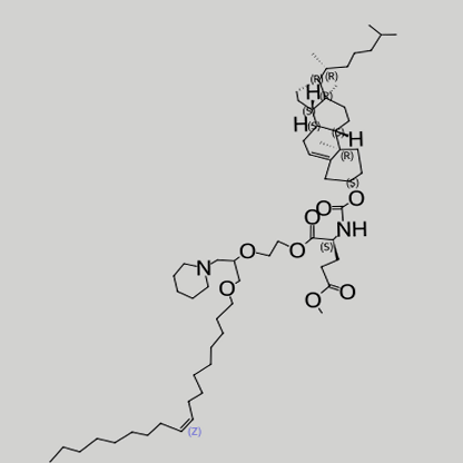 CCCCCCCC/C=C\CCCCCCCCOCC(CN1CCCCC1)OCCOC(=O)[C@H](CCC(=O)OC)NC(=O)O[C@H]1CC[C@@]2(C)C(=CC[C@H]3[C@@H]4CC[C@H]([C@H](C)CCCC(C)C)[C@@]4(C)CC[C@@H]32)C1